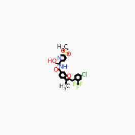 CCc1c(Cc2ccc(Cl)cc2C(F)(F)F)oc2cc(C(=O)N[C@@H](CO)c3ccc(S(=O)(=O)CC)cn3)ccc12